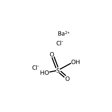 O=S(=O)(O)O.[Ba+2].[Cl-].[Cl-]